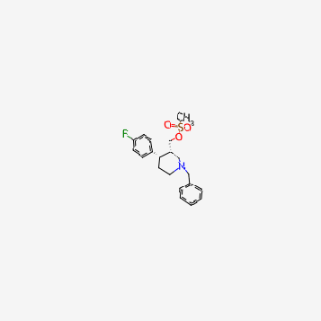 CS(=O)(=O)OC[C@@H]1CN(Cc2ccccc2)CC[C@@H]1c1ccc(F)cc1